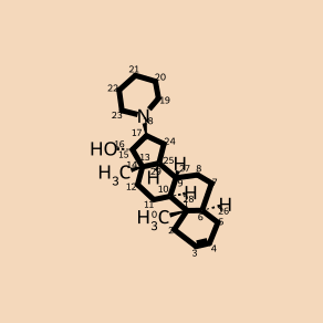 C[C@]12CC=CC[C@@H]1CC[C@@H]1[C@@H]2CC[C@]2(C)[C@H](O)[C@@H](N3CCCCC3)C[C@@H]12